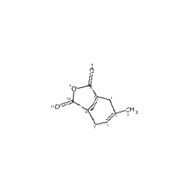 CC1=CCC2=C(C1)C(=O)OC2=O